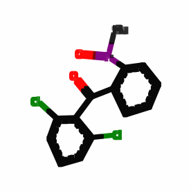 CC(C)(C)[P](=O)c1ccccc1C(=O)c1c(Cl)cccc1Cl